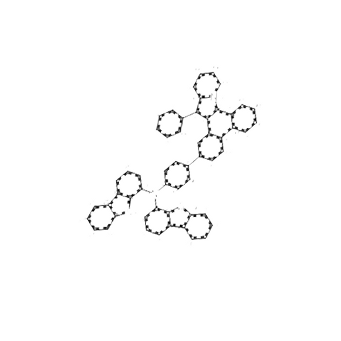 c1ccc(-c2c3c4cc(-c5ccc(N(c6cccc7c6sc6ccccc67)c6cccc7c6sc6ccccc67)cc5)ccc4c4ccccc4c3n3ccccc23)cc1